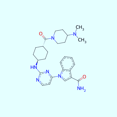 CN(C)C1CCN(C(=O)[C@H]2CC[C@H](Nc3nccc(-n4cc(C(N)=O)c5ccccc54)n3)CC2)CC1